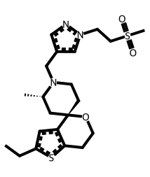 CCc1cc2c(s1)CCO[C@]21CCN(Cc2cnn(CCS(C)(=O)=O)c2)[C@@H](C)C1